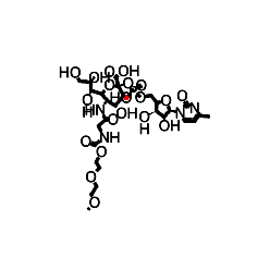 COCCOCCOC(=O)NCC(=O)N[C@H]1C([C@H](O)[C@H](O)CO)O[C@](OP(=O)(O)OCC2O[C@@H](n3ccc(C)nc3=O)[C@H](O)[C@@H]2O)(C(=O)O)C[C@H]1O